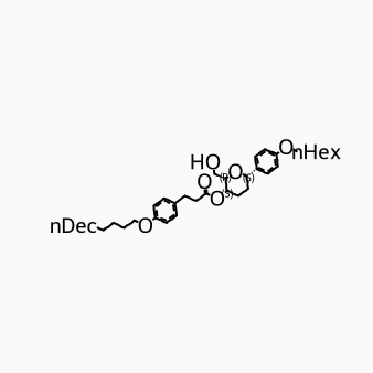 CCCCCCCCCCCCCCOc1ccc(CCC(=O)O[C@H]2CC[C@@H](c3ccc(OCCCCCC)cc3)O[C@@H]2CO)cc1